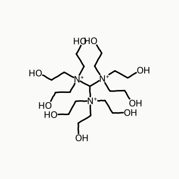 OCC[N+](CCO)(CCO)C([N+](CCO)(CCO)CCO)[N+](CCO)(CCO)CCO